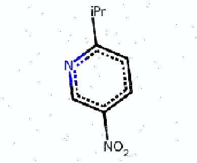 CC(C)c1ccc([N+](=O)[O-])[c]n1